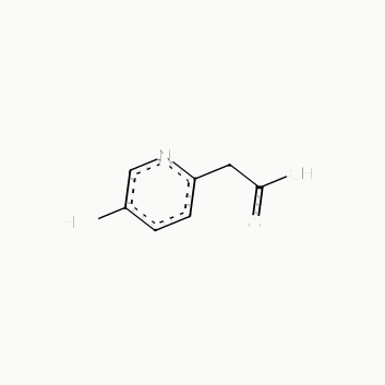 CC(=O)Cc1ccc(C)cn1